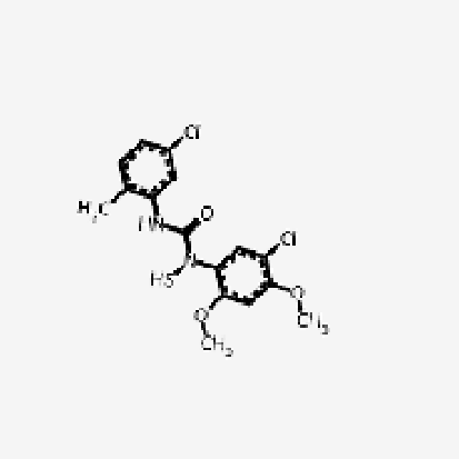 COc1cc(OC)c(N(S)C(=O)Nc2cc(Cl)ccc2C)cc1Cl